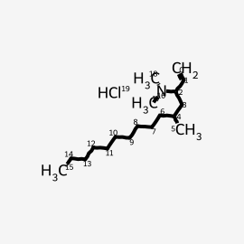 C=CC(CC(C)CCCCCCCCCC)N(C)C.Cl